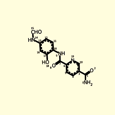 NC(=O)c1ccc(C(=O)Nc2ccc(NC=O)cc2O)nc1